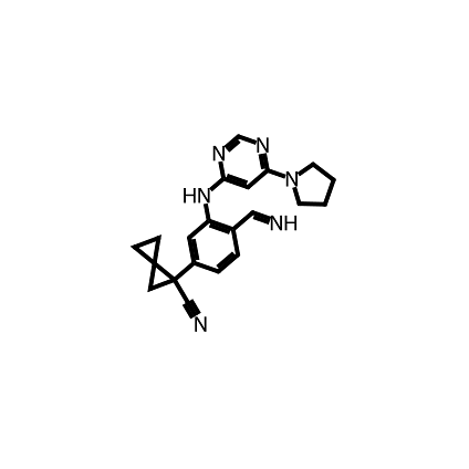 N#CC1(c2ccc(C=N)c(Nc3cc(N4CCCC4)ncn3)c2)CC12CC2